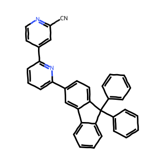 N#Cc1cc(-c2cccc(-c3ccc4c(c3)-c3ccccc3C4(c3ccccc3)c3ccccc3)n2)ccn1